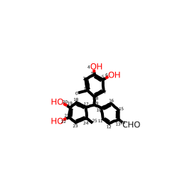 Cc1cc(O)c(O)cc1C(c1ccc(C=O)cc1)c1cc(O)c(O)cc1C